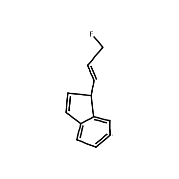 FCC=CC1C=Cc2cc[c]cc21